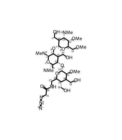 CNC1O[C@@H](NC)[C@@H](O[C@H]2OC(COC)[C@@H](OC)[C@@H](NC)C2CO)C(CO)[C@@H]1O[C@H]1OC(CNC(=O)CN=[N+]=[N-])[C@@H](CO)C(CO)[C@@H]1OC